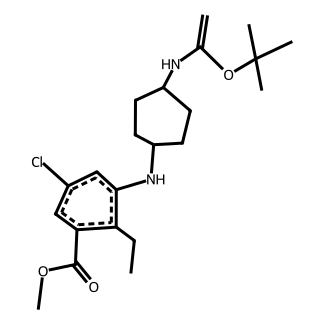 C=C(NC1CCC(Nc2cc(Cl)cc(C(=O)OC)c2CC)CC1)OC(C)(C)C